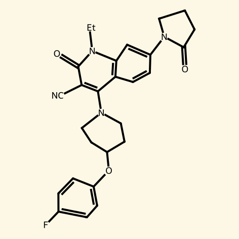 CCn1c(=O)c(C#N)c(N2CCC(Oc3ccc(F)cc3)CC2)c2ccc(N3CCCC3=O)cc21